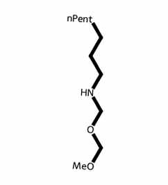 CCCCCCCCNCOCOC